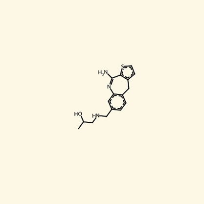 CC(O)CNCc1ccc2c(c1)N=C(N)c1sccc1C2